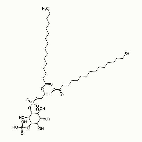 CCCCCCCCCCCCCCCC(=O)O[C@H](COC(=O)CCCCCCCCCCCCCCS)COP(=O)(O)OC1C(O)[C@@H](O)C(O)[C@@H](OP(=O)(O)O)[C@H]1O